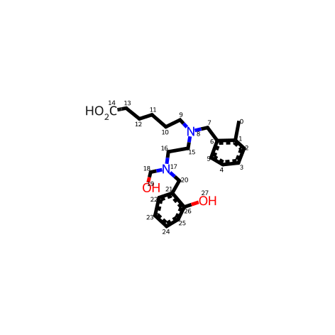 Cc1ccccc1CN(CCCCCC(=O)O)CCN(CO)Cc1ccccc1O